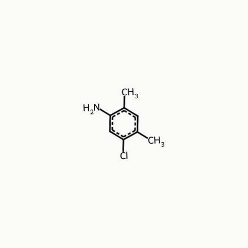 Cc1cc(C)c(Cl)cc1N